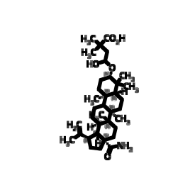 C=C(C)[C@@H]1CC[C@]2(C(N)=O)CC[C@]3(C)[C@H](CCC4[C@@]5(C)CC[C@H](OC(O)CC(C)(C)C(=O)O)C(C)(C)[C@@H]5CC[C@]43C)[C@@H]12